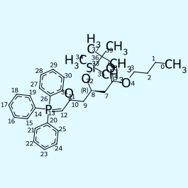 CCCCOC(=O)C[C@@H](CC(=O)C=P(c1ccccc1)(c1ccccc1)c1ccccc1)O[Si](C)(C)C(C)(C)C